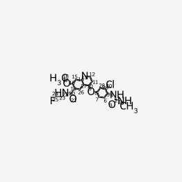 CNC(=O)Nc1ccc(Oc2ccnc3cc(OC)c(C(=O)NCCF)cc23)cc1Cl